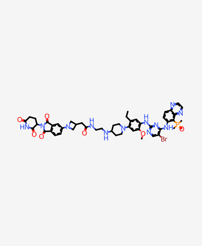 CCc1cc(Nc2ncc(Br)c(Nc3ccc4nccnc4c3P(C)(C)=O)n2)c(OC)cc1N1CCC(NCCNC(=O)CC2CN(c3ccc4c(c3)C(=O)N(C3CCC(=O)NC3=O)C4=O)C2)CC1